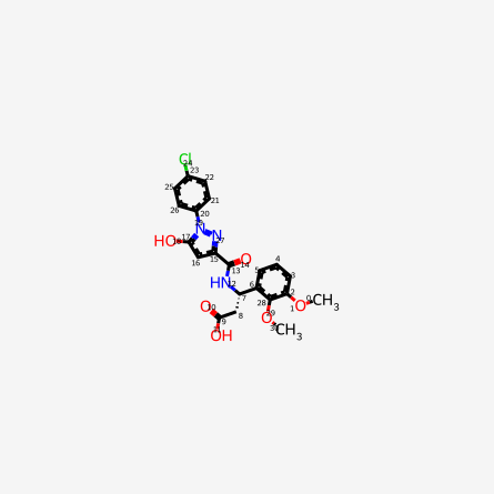 COc1cccc([C@H](CC(=O)O)NC(=O)c2cc(O)n(-c3ccc(Cl)cc3)n2)c1OC